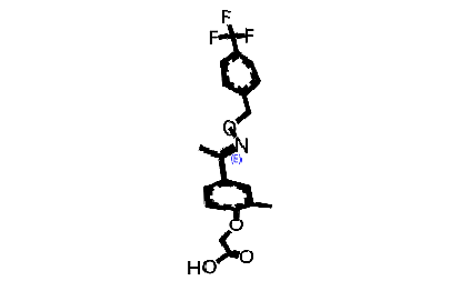 C/C(=N\OCc1ccc(C(F)(F)F)cc1)c1ccc(OCC(=O)O)c(C)c1